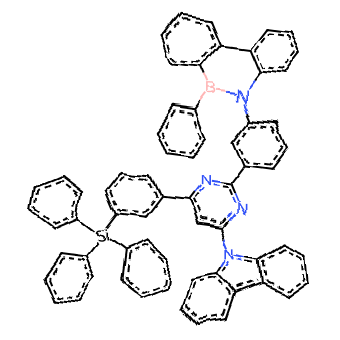 c1ccc(B2c3ccccc3-c3ccccc3N2c2cccc(-c3nc(-c4cccc([Si](c5ccccc5)(c5ccccc5)c5ccccc5)c4)cc(-n4c5ccccc5c5ccccc54)n3)c2)cc1